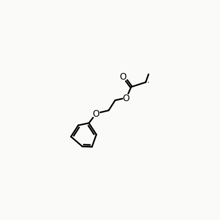 C[CH]C(=O)OCCOc1ccccc1